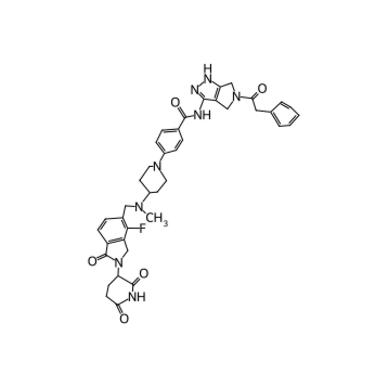 CN(Cc1ccc2c(c1F)CN(C1CCC(=O)NC1=O)C2=O)C1CCN(c2ccc(C(=O)Nc3n[nH]c4c3CN(C(=O)Cc3ccccc3)C4)cc2)CC1